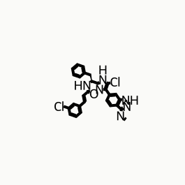 C=Nc1n[nH]c2cc(-c3nc([C@H](Cc4ccccc4)NC(=O)/C=C/c4cccc(Cl)c4)[nH]c3Cl)ccc12